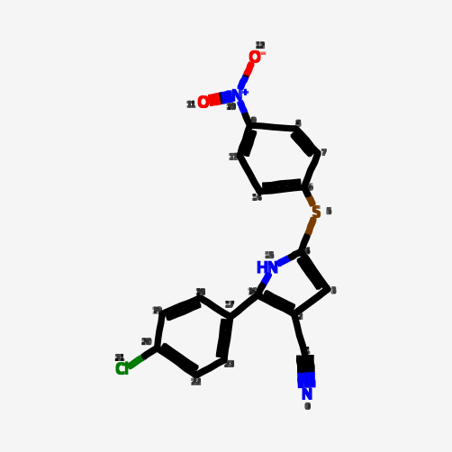 N#Cc1cc(Sc2ccc([N+](=O)[O-])cc2)[nH]c1-c1ccc(Cl)cc1